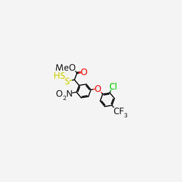 COC(=O)C(SS)c1cc(Oc2ccc(C(F)(F)F)cc2Cl)ccc1[N+](=O)[O-]